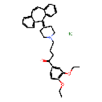 CCOc1ccc(C(=O)CCCN2CCC(=C3c4ccccc4C=Cc4ccccc43)CC2)cc1OCC.Cl